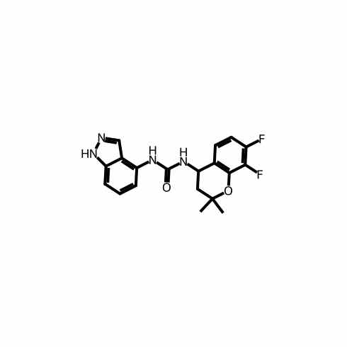 CC1(C)CC(NC(=O)Nc2cccc3[nH]ncc23)c2ccc(F)c(F)c2O1